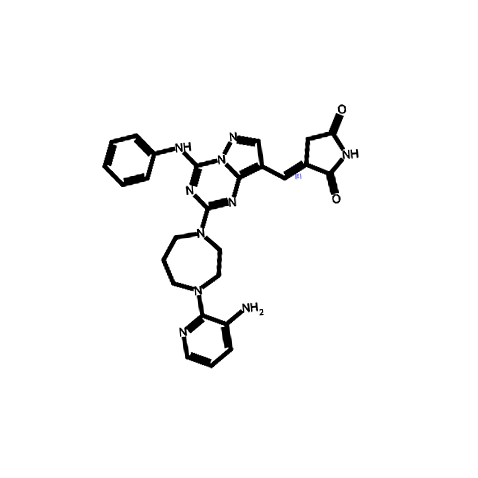 Nc1cccnc1N1CCCN(c2nc(Nc3ccccc3)n3ncc(/C=C4\CC(=O)NC4=O)c3n2)CC1